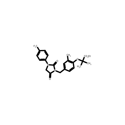 CCOC(=O)C(C)(C)Oc1ccc(CN2C(=O)CN(c3ccc(C(F)(F)F)cc3)C2=O)cc1C